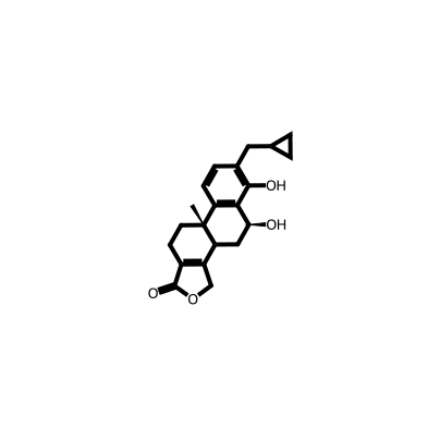 C[C@]12CCC3=C(COC3=O)C1C[C@H](O)c1c2ccc(CC2CC2)c1O